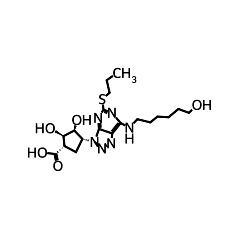 CCCSc1nc(NCCCCCCO)c2nnn([C@@H]3C[C@H](C(=O)O)[C@@H](O)[C@H]3O)c2n1